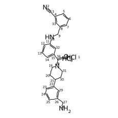 Cl.Cl.N#Cc1cccc(CNc2cccc(C(=O)N3CCC(c4cccc(CN)c4)CC3)c2)c1